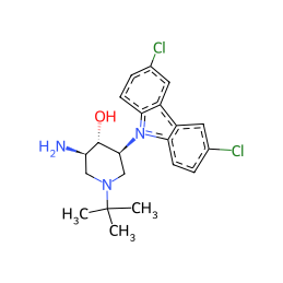 CC(C)(C)N1C[C@@H](N)[C@H](O)[C@@H](n2c3ccc(Cl)cc3c3cc(Cl)ccc32)C1